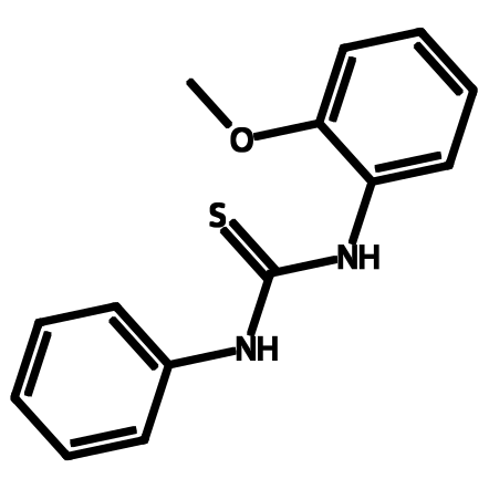 COc1ccccc1NC(=S)Nc1ccccc1